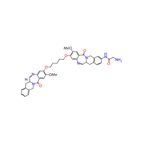 COc1cc2c(cc1OCCCCCOc1cc3c(cc1OC)C(=O)N1Cc4ccccc4C[C@H]1C=N3)N=CC1Cc3ccc(NC(=O)CN)cc3CN1C2=O